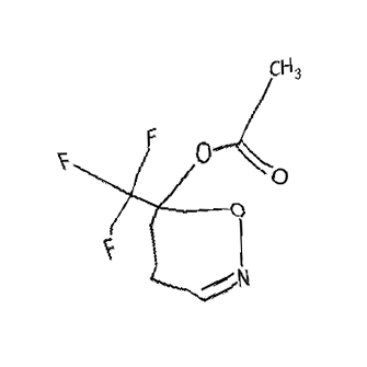 CC(=O)OC1(C(F)(F)F)CC=NO1